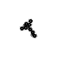 c1ccc(-c2ccc(N(c3ccc(-c4ccc5c(c4)oc4ccccc45)cc3)c3ccc(-c4ccccc4)c4oc5ccccc5c34)cc2)cc1